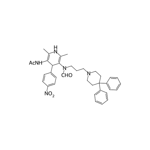 CC(=O)NC1=C(C)NC(C)=C(N(C=O)CCCN2CCC(c3ccccc3)(c3ccccc3)CC2)C1c1ccc([N+](=O)[O-])cc1